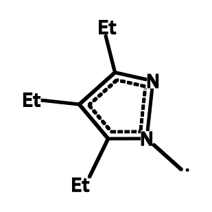 [CH2]n1nc(CC)c(CC)c1CC